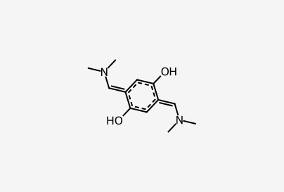 CN(C)C=c1cc(O)c(=CN(C)C)cc1O